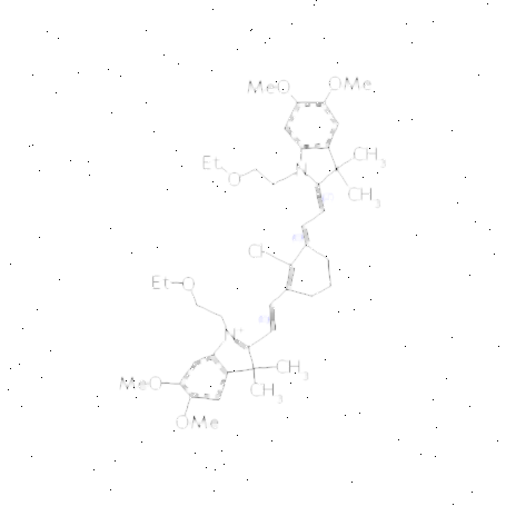 CCOCCN1/C(=C\C=C2/CCCC(/C=C/C3=[N+](CCOCC)c4cc(OC)c(OC)cc4C3(C)C)=C2Cl)C(C)(C)c2cc(OC)c(OC)cc21